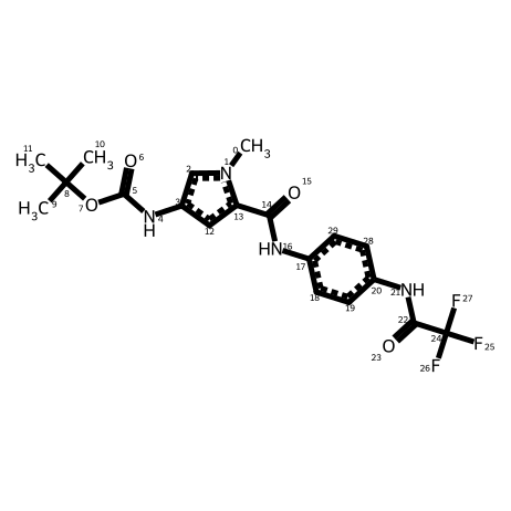 Cn1cc(NC(=O)OC(C)(C)C)cc1C(=O)Nc1ccc(NC(=O)C(F)(F)F)cc1